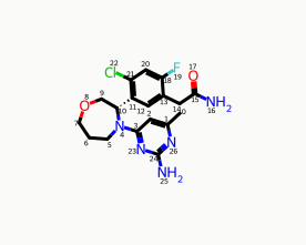 Cc1cc(N2CCCOC[C@@H]2c2cc(CC(N)=O)c(F)cc2Cl)nc(N)n1